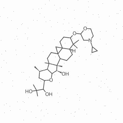 C[C@@H]1CC(C(O)C(C)(C)O)OC2C1C1(C)CCC34CC35CCC(OC3CN(C6CC6)CCO3)C(C)(C)[C@@H]5CCC4[C@]1(C)[C@H]2O